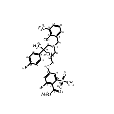 COC(=O)c1c(F)cc(OCCCN(Cc2cccc(C(F)(F)F)c2Cl)CC(C)(C)c2ccc(F)cc2)cc1S(C)(=O)=O